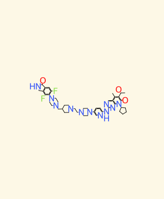 CC(=O)c1c(C)c2cnc(Nc3ccc(N4CCN(CCN5CCC(CN6CCN(c7c(F)cc8c(c7F)CNC8=O)CC6)CC5)CC4)cn3)nc2n(C2CCCC2)c1=O